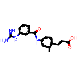 Cc1cc(NC(=O)c2cccc(NC(=N)N)c2)ccc1/C=C/C(=O)O